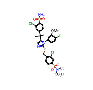 CCN(C(=O)O)S(=O)(=O)c1ccc(CSc2ncc(C(C)(C)c3ccc(S(N)(=O)=O)c(Cl)c3)n2-c2ccc(F)c(OC)c2)c(Cl)c1